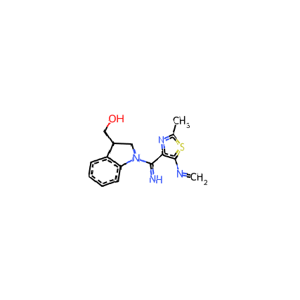 C=Nc1sc(C)nc1C(=N)N1CC(CO)c2ccccc21